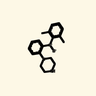 Cc1cccc(C)c1[S+]([O-])c1ccccc1N1CCNCC1